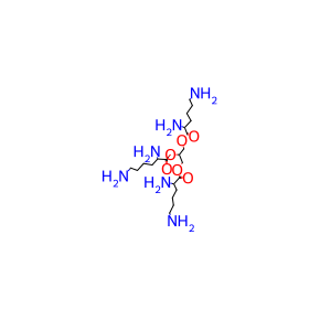 NCCCCC(N)C(=O)OCC(COC(=O)C(N)CCCCN)OC(=O)C(N)CCCCN